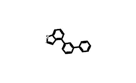 [c]1cc2c(-c3cccc(-c4ccccc4)c3)cccc2s1